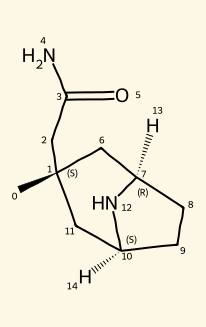 C[C@@]1(CC(N)=O)C[C@H]2CC[C@@H](C1)N2